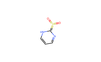 O=S(=O)=c1nccc[nH]1